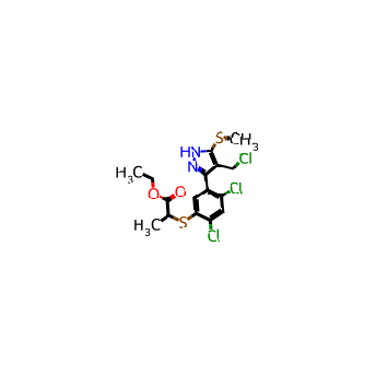 CCOC(=O)C(C)Sc1cc(-c2n[nH]c(SC)c2CCl)c(Cl)cc1Cl